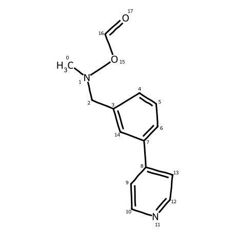 CN(Cc1cccc(-c2ccncc2)c1)OC=O